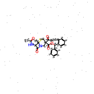 CCC(=O)NC1C(=O)N2CC(C(=O)NC)(C(=O)OC(c3ccccc3)c3ccccc3)CS[C@H]12